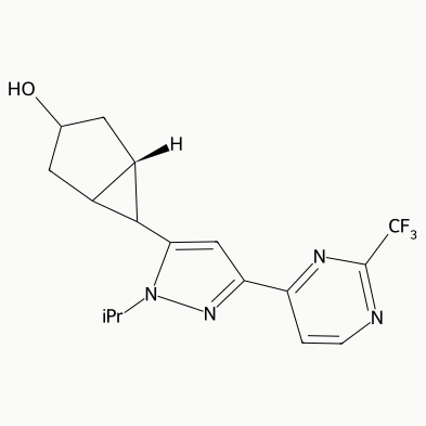 CC(C)n1nc(-c2ccnc(C(F)(F)F)n2)cc1C1C2CC(O)C[C@@H]21